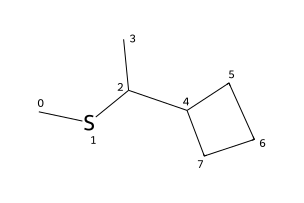 CSC(C)C1CCC1